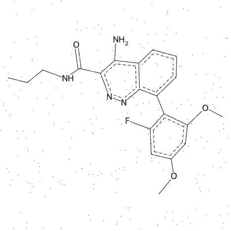 CCCNC(=O)c1nnc2c(-c3c(F)cc(OC)cc3OC)cccc2c1N